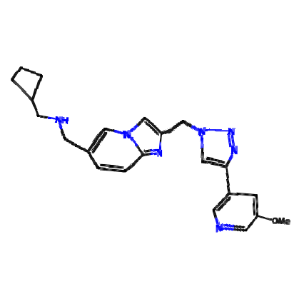 COc1cncc(-c2cn(Cc3cn4cc(CNCC5CCC5)ccc4n3)nn2)c1